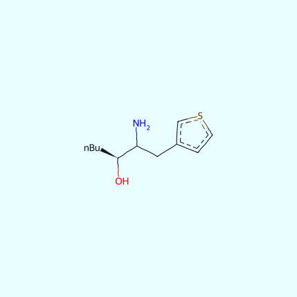 CCCC[C@H](O)C(N)Cc1ccsc1